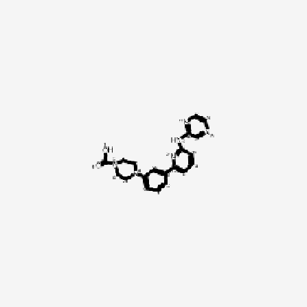 O=C(O)N1CCN(c2cccc(-c3cccc(Nc4cnccn4)n3)c2)CC1